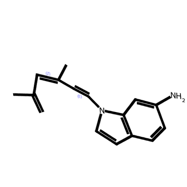 C=C(C)/C=C(C)\C=C\n1ccc2ccc(N)cc21